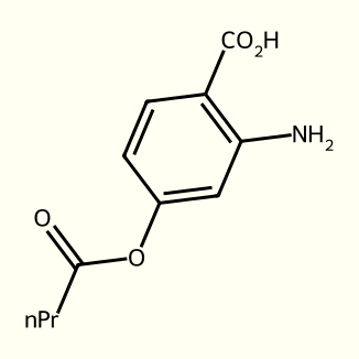 CCCC(=O)Oc1ccc(C(=O)O)c(N)c1